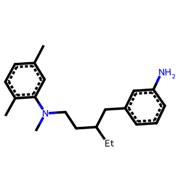 CCC(CCN(C)c1cc(C)ccc1C)Cc1cccc(N)c1